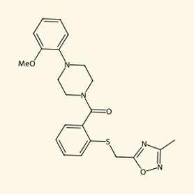 COc1ccccc1N1CCN(C(=O)c2ccccc2SCc2nc(C)no2)CC1